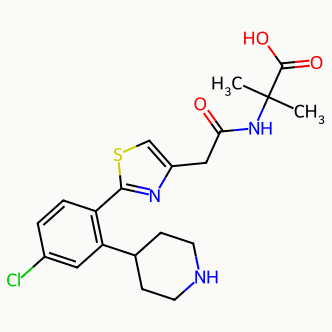 CC(C)(NC(=O)Cc1csc(-c2ccc(Cl)cc2C2CCNCC2)n1)C(=O)O